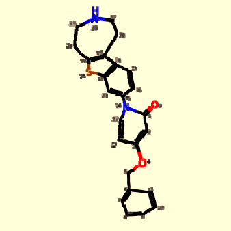 O=c1cc(OCc2ccccc2)ccn1-c1ccc2c3c(sc2c1)CCNCC3